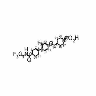 O=C(NCC(F)(F)F)C1CC=C(c2ccc(OCC3CCN(C(=O)O)CC3)cc2F)CC1